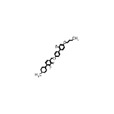 C=CCCOc1ccc(-c2ccc(OCc3ccc(C4CCC(C)CC4)c(F)c3F)cc2)c(F)c1